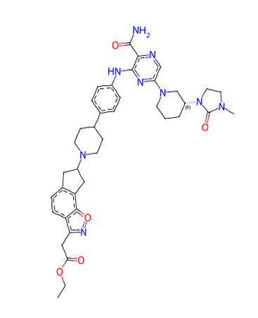 CCOC(=O)Cc1noc2c3c(ccc12)CC(N1CCC(c2ccc(Nc4nc(N5CCC[C@@H](N6CCN(C)C6=O)C5)cnc4C(N)=O)cc2)CC1)C3